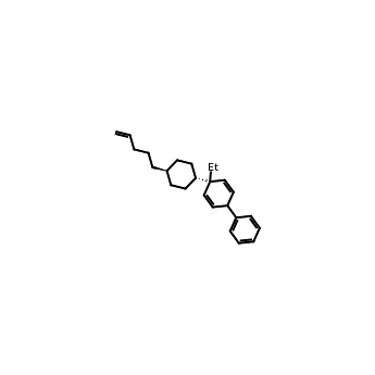 C=CCCC[C@H]1CC[C@H](C2(CC)C=CC(c3ccccc3)C=C2)CC1